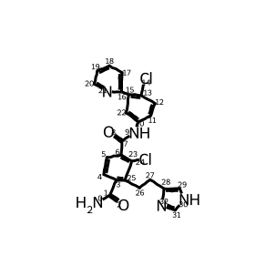 NC(=O)c1ccc(C(=O)Nc2ccc(Cl)c(-c3ccccn3)c2)c(Cl)c1CCc1c[nH]cn1